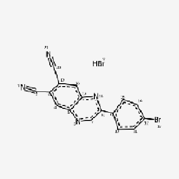 Br.N#Cc1cc2ncc(-c3ccc(Br)cc3)nc2cc1C#N